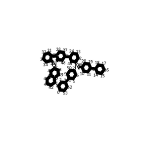 c1ccc(-c2ccc(N(c3ccc(-c4ccccc4)cc3)c3cccc(-c4ccc5c6ccccc6n(-c6ccc7ccccc7c6)c5c4)c3)cc2)cc1